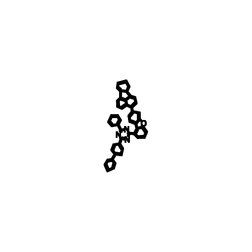 C1=CCC2C(=C1)c1cccc3c(-c4ccc5c(c4)oc4cccc(-c6nc(-c7ccccc7)nc(-c7ccc(-c8ccccc8)cc7)n6)c45)ccc2c13